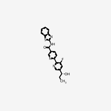 CC[C@@H](O)c1cnc(-c2ccc(C(=O)Nc3nc4ccccc4s3)cn2)c(F)c1